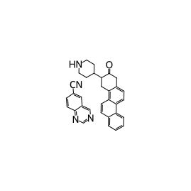 N#Cc1ccc2ncncc2c1.O=C1Cc2ccc3c(ccc4ccccc43)c2CC1C1CCNCC1